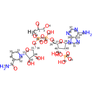 CC(=O)C=O.NC(=O)c1ccc[n+]([C@@H]2O[C@H](COP(=O)([O-])OP(=O)(O)OC[C@H]3O[C@@H](n4cnc5c(N)ncnc54)[C@H](OP(=O)(O)O)[C@@H]3O)[C@@H](O)[C@H]2O)c1